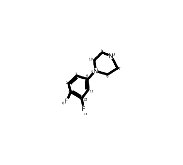 Fc1ccc(N2CC[N]CC2)cc1F